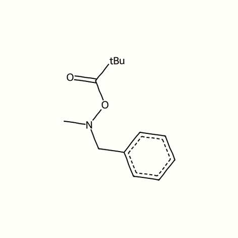 CN(Cc1ccccc1)OC(=O)C(C)(C)C